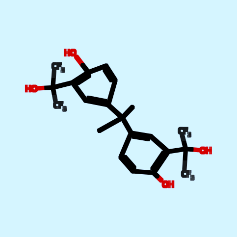 CC(C)(c1ccc(O)c(C(O)(C(F)(F)F)C(F)(F)F)c1)c1ccc(O)c(C(O)(C(F)(F)F)C(F)(F)F)c1